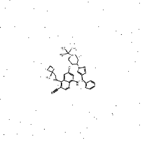 CC1(CNc2c(C#N)cnc3c(N[C@@H](c4ccccc4)c4cn(C5CCN(C(C)(C)C)CC5)nn4)cc(Cl)cc23)CCC1